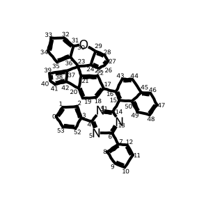 c1ccc(-c2nc(-c3ccccc3)nc(-c3c(-c4ccc5c(c4)C4(c6ccccc6Oc6ccccc64)c4ccccc4-5)ccc4ccccc34)n2)cc1